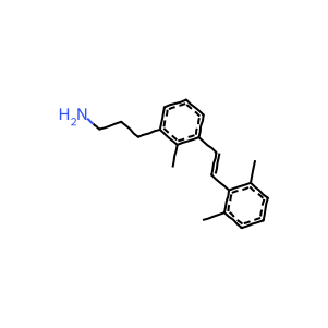 Cc1cccc(C)c1/C=C/c1cccc(CCCN)c1C